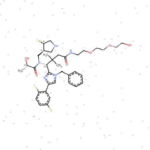 C[C@H](O)C(=O)N(C[C@@H]1CNC[C@@H]1F)[C@@H](c1nc(-c2cc(F)ccc2F)cn1Cc1ccccc1)C(C)(C)CC(=O)NCCOCCOCCO